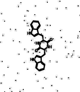 O=C1N[C@@H](Cc2c[nH]c3ccccc23)C(=O)N[C@H]1Cc1c[nH]c2ccccc12